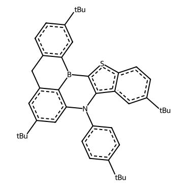 CC(C)(C)c1ccc(N2c3cc(C(C)(C)C)cc4c3B(c3cc(C(C)(C)C)ccc3C4)c3sc4ccc(C(C)(C)C)cc4c32)cc1